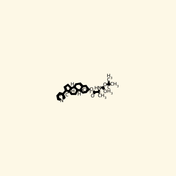 C[C@H](NC(=O)OC(C)(C)C)C(=O)O[C@H]1CC[C@@]2(C)C(=CC[C@@H]3[C@@H]2CC[C@]2(C)C(c4cccnc4)=CC[C@@H]32)C1